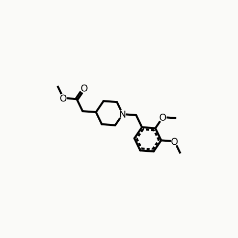 COC(=O)CC1CCN(Cc2cccc(OC)c2OC)CC1